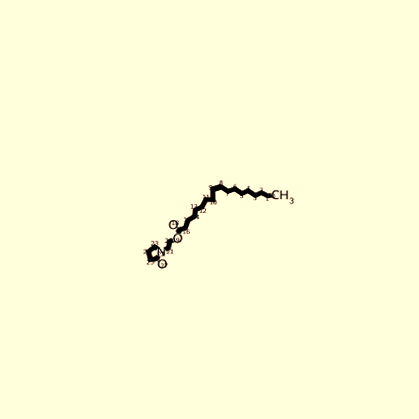 CCCCCCCC/C=C\CCCCCCCC(=O)OCCN1CCCC1=O